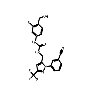 N#Cc1cccc(-n2nc(C(F)(F)F)cc2CNC(=O)Nc2ccc(CO)c(F)c2)c1